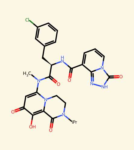 CC(C)N1CCn2c(N(C)C(=O)[C@@H](Cc3cccc(Cl)c3)NC(=O)c3cccn4c(=O)[nH]nc34)cc(=O)c(O)c2C1=O